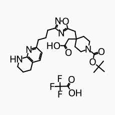 CC(C)(C)OC(=O)N1CCC(CC(=O)O)(Cc2nc(CCCc3ccc4c(n3)NCCC4)no2)CC1.O=C(O)C(F)(F)F